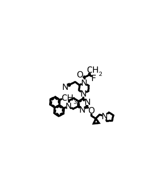 C=C(F)C(=O)N1CCN(c2nc(OCC3(CN4CCCC4)CC3)nc3c2CCN(c2cccc4cccc(C)c24)C3)CC1CC#N